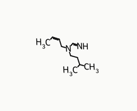 C/C=C\CN(C=N)CCC(C)C